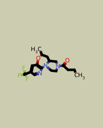 CCCC(=O)N1CCN2c3ncc(C(F)(F)F)cc3OC(C)CC2C1